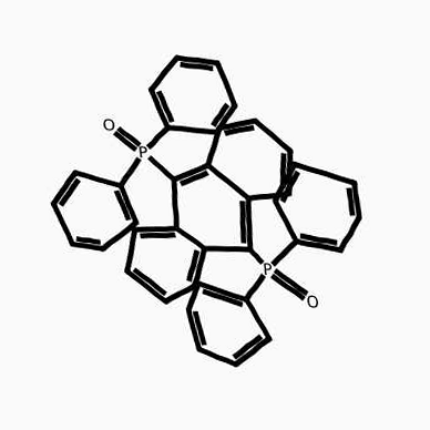 O=P(c1ccccc1)(c1ccccc1)c1c2ccccc2c(P(=O)(c2ccccc2)c2ccccc2)c2ccccc12